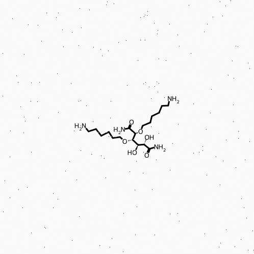 NCCCCCCO[C@@H]([C@H](O)[C@H](O)C(N)=O)[C@@H](OCCCCCCN)C(N)=O